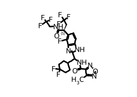 Cc1nonc1C(=O)NC(c1nc2c(F)c([C@H](CC(F)(F)F)C(=O)NCC(F)(F)F)ccc2[nH]1)C1CCC(F)(F)CC1